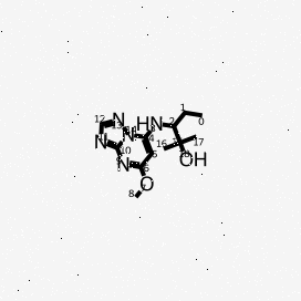 CCC(Nc1cc(OC)nc2ncnn12)C(C)(C)O